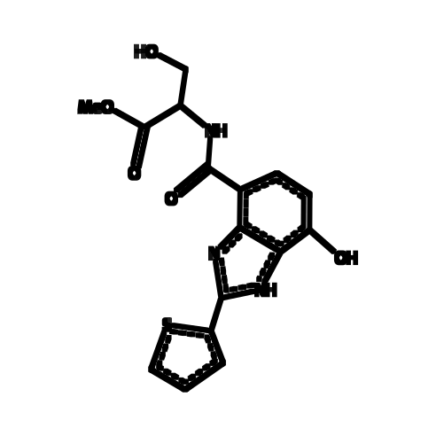 COC(=O)C(CO)NC(=O)c1ccc(O)c2[nH]c(-c3cccs3)nc12